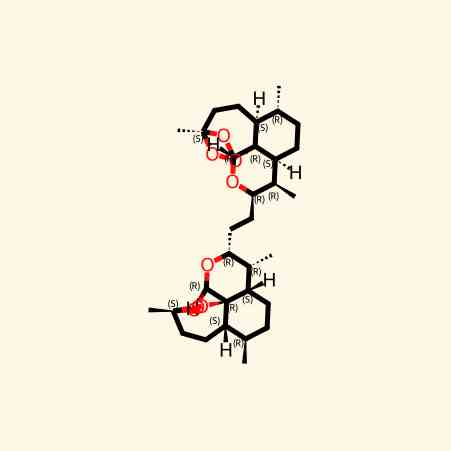 C[C@H]1[C@@H](CC[C@H]2O[C@@H]3O[C@]4(C)CC[C@H]5[C@H](C)CC[C@@H]([C@H]2C)[C@@]35OO4)O[C@@H]2O[C@]3(C)CC[C@H]4[C@H](C)CC[C@@H]1[C@@]24OO3